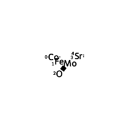 [Co].[Fe].[O]=[Mo].[Sr]